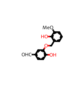 COc1cccc(COc2cc(C=O)ccc2O)c1O